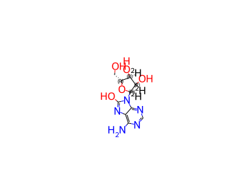 [2H][C@]1(O)[C@]([2H])(n2c(O)nc3c(N)ncnc32)O[C@H](CO)[C@@]1([2H])O